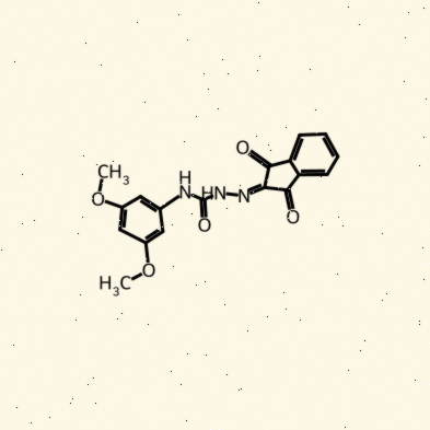 COc1cc(NC(=O)NN=c2c(=O)c3ccccc3c2=O)cc(OC)c1